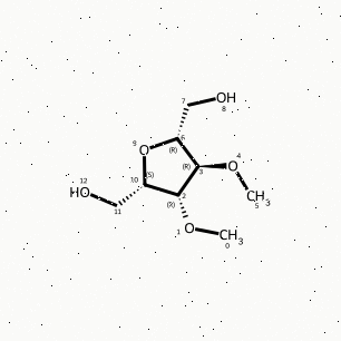 CO[C@H]1[C@H](OC)[C@@H](CO)O[C@H]1CO